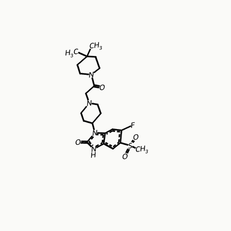 CC1(C)CCN(C(=O)CN2CCC(n3c(=O)[nH]c4cc(S(C)(=O)=O)c(F)cc43)CC2)CC1